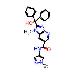 CCn1cc(NC(=O)c2cnc3nc(C(O)(c4ccccc4)c4ccccc4)n(C)c3c2)cn1